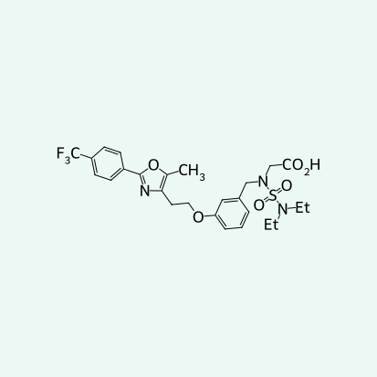 CCN(CC)S(=O)(=O)N(CC(=O)O)Cc1cccc(OCCc2nc(-c3ccc(C(F)(F)F)cc3)oc2C)c1